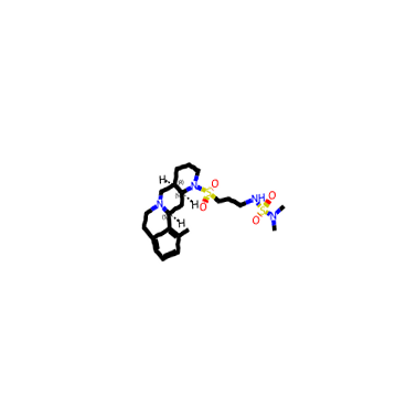 Cc1cccc2c1[C@@H]1C[C@H]3[C@H](CCCN3S(=O)(=O)CCCNS(=O)(=O)N(C)C)CN1CC2